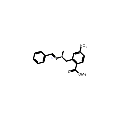 COC(=O)c1ccc([N+](=O)[O-])cc1CN(C)/N=C/c1ccccc1